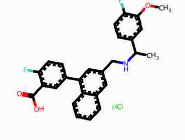 COc1cc(C(C)NCc2cc(-c3ccc(F)c(C(=O)O)c3)c3ccccc3c2)ccc1F.Cl